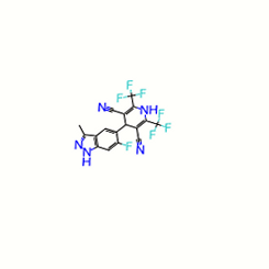 Cc1n[nH]c2cc(F)c(C3C(C#N)=C(C(F)(F)F)NC(C(F)(F)F)=C3C#N)cc12